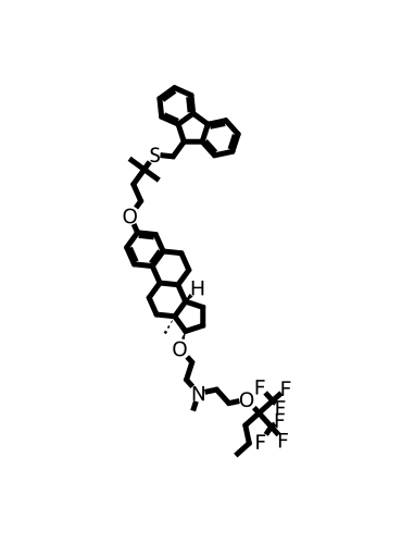 CCCC(OCCN(C)CCO[C@H]1CC[C@H]2C3CCc4cc(OCCC(C)(C)SCC5c6ccccc6-c6ccccc65)ccc4C3CC[C@]12C)(C(F)(F)F)C(F)(F)F